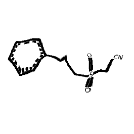 N#CCS(=O)(=O)CCc1ccccc1